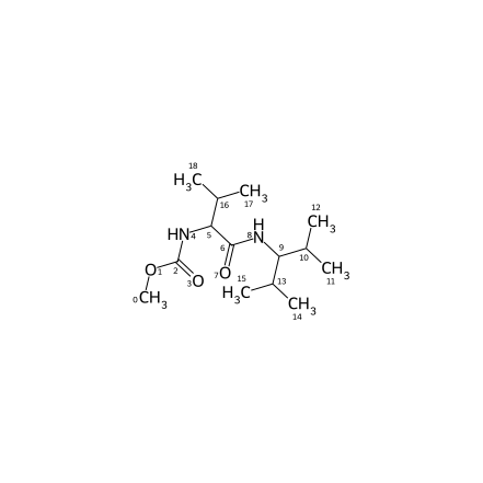 COC(=O)NC(C(=O)NC(C(C)C)C(C)C)C(C)C